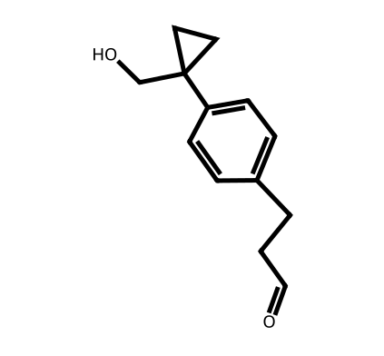 O=CCCc1ccc(C2(CO)CC2)cc1